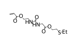 C=CC(=O)OCCNC(=O)NCC(=O)OCCSCC